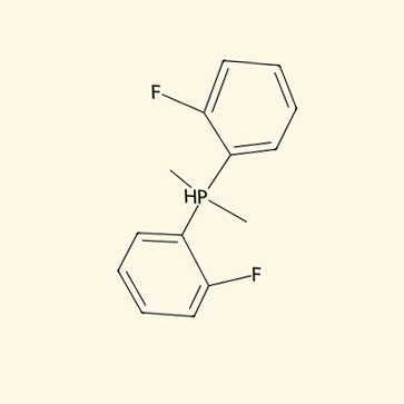 C[PH](C)(c1ccccc1F)c1ccccc1F